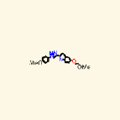 COCCOc1ccc2nc(-c3cn(-c4ccc(OC)cc4)nn3)ccc2c1